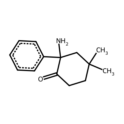 CC1(C)CCC(=O)C(N)(c2ccccc2)C1